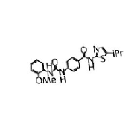 COc1ccccc1NC(=O)Nc1ccc(C(=O)Nc2ncc(C(C)C)s2)cc1